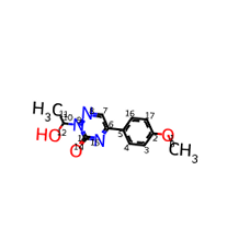 COc1ccc(-c2cnn(C(C)O)c(=O)n2)cc1